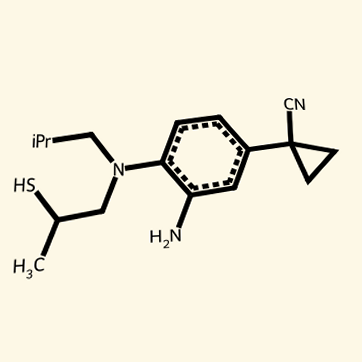 CC(C)CN(CC(C)S)c1ccc(C2(C#N)CC2)cc1N